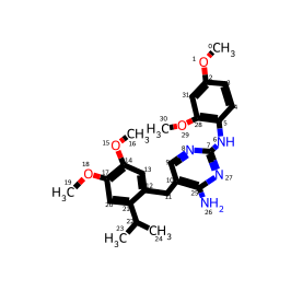 COc1ccc(Nc2ncc(Cc3cc(OC)c(OC)cc3C(C)C)c(N)n2)c(OC)c1